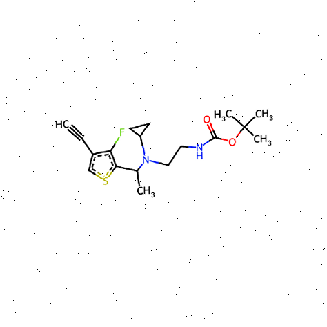 C#Cc1csc(C(C)N(CCNC(=O)OC(C)(C)C)C2CC2)c1F